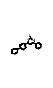 Ic1nc(-c2ccccc2)cc(-c2ccc(-c3ccccc3)cc2)n1